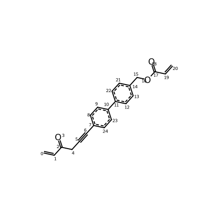 C=CC(=O)CC#Cc1ccc(-c2ccc(COC(=O)C=C)cc2)cc1